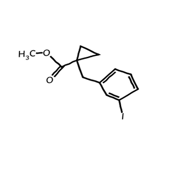 COC(=O)C1(Cc2cccc(I)c2)CC1